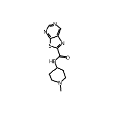 CN1CCC(BC(=O)c2nc3cncnc3s2)CC1